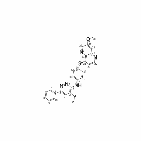 CCc1cc(-c2ccccc2)nnc1Nc1ccc(Sc2ccnc3cc(OC)cnc23)cc1